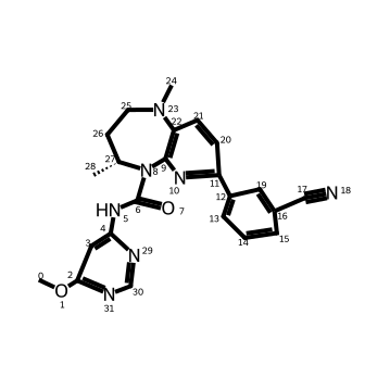 COc1cc(NC(=O)N2c3nc(-c4cccc(C#N)c4)ccc3N(C)CC[C@H]2C)ncn1